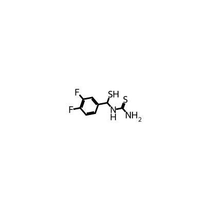 NC(=S)NC(S)c1ccc(F)c(F)c1